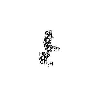 CC(C)Oc1cc(C(=O)Nc2ccc(C(=O)O)cn2)cc(Oc2ccc(C(=O)N(C)C)cn2)n1